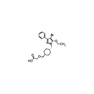 CCOc1c(Br)c(-c2ccccc2)nn1C[C@H]1CC[C@H](COCC(=O)O)CC1